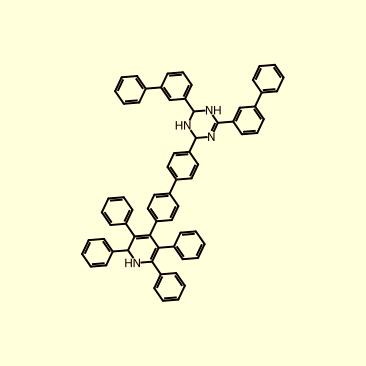 c1ccc(C2=C(c3ccccc3)C(c3ccc(-c4ccc(C5N=C(c6cccc(-c7ccccc7)c6)NC(c6cccc(-c7ccccc7)c6)N5)cc4)cc3)=C(c3ccccc3)C(c3ccccc3)N2)cc1